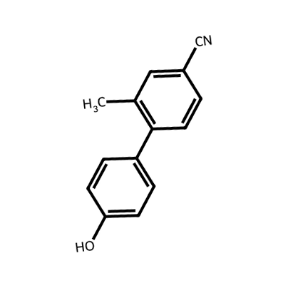 Cc1cc(C#N)ccc1-c1ccc(O)cc1